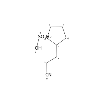 N#CCCC1CCCC1.O=S(=O)(O)O